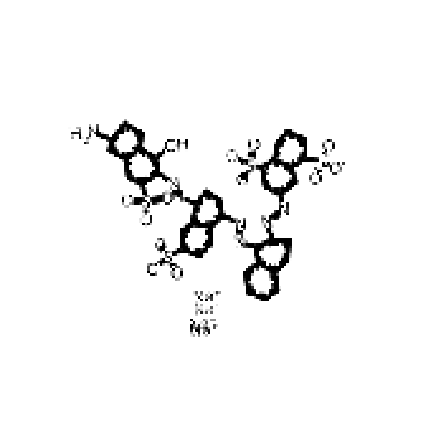 Nc1ccc2c(O)c(N=Nc3ccc(N=Nc4c(N=Nc5cc(S(=O)(=O)[O-])c6cccc(S(=O)(=O)[O-])c6c5)ccc5ccccc45)c4ccc(S(=O)(=O)[O-])cc34)c(S(=O)(=O)[O-])cc2c1.[Na+].[Na+].[Na+].[Na+]